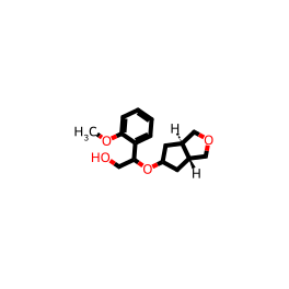 COc1ccccc1C(CO)OC1C[C@H]2COC[C@@H]2C1